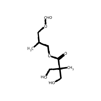 CC(COC=O)COC(=O)C(C)(CO)CO